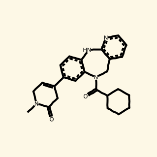 CN1CC=C(c2ccc3c(c2)N(C(=O)C2CCCCC2)Cc2cccnc2N3)CC1=O